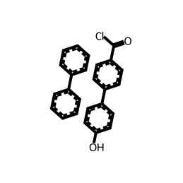 O=C(Cl)c1ccc(-c2ccc(O)cc2)cc1.c1ccc(-c2ccccc2)cc1